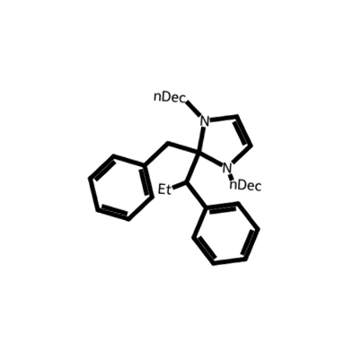 CCCCCCCCCCN1C=CN(CCCCCCCCCC)C1(Cc1ccccc1)C(CC)c1ccccc1